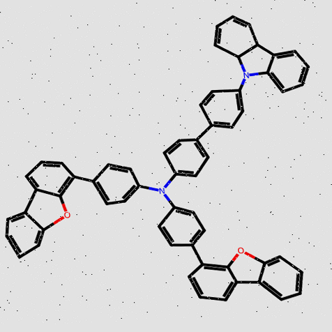 C1=CC2c3ccccc3N(c3ccc(-c4ccc(N(c5ccc(-c6cccc7c6oc6ccccc67)cc5)c5ccc(-c6cccc7c6oc6ccccc67)cc5)cc4)cc3)C2C=C1